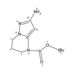 CC(C)(C)OC(=O)N1CCCn2nc(N)cc21